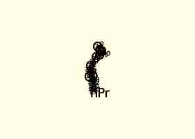 C=CC(=O)OCC(COCCCCOc1ccc(C(=O)Oc2ccc(C3CCC(CCC)CC3)cc2)cc1)OC(=O)C=C